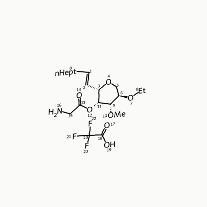 CCCCCCCC=C[C@@H]1OC[C@@H](OCC)[C@H](OC)[C@@H]1OC(=O)CN.O=C(O)C(F)(F)F